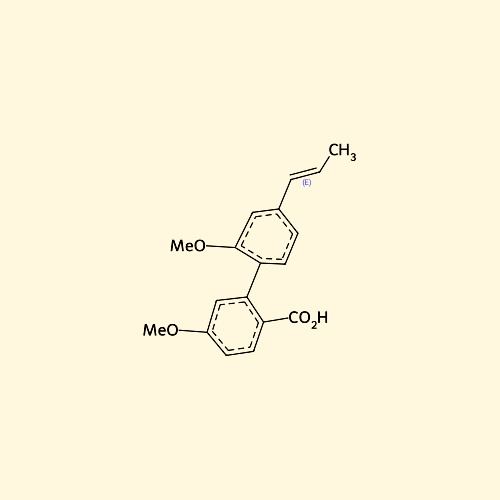 C/C=C/c1ccc(-c2cc(OC)ccc2C(=O)O)c(OC)c1